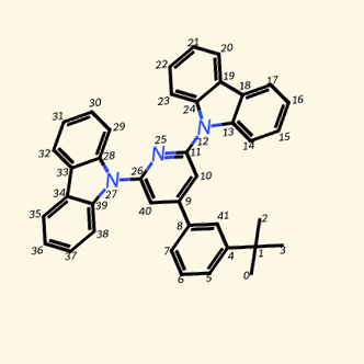 CC(C)(C)c1cccc(-c2cc(-n3c4ccccc4c4ccccc43)nc(-n3c4ccccc4c4ccccc43)c2)c1